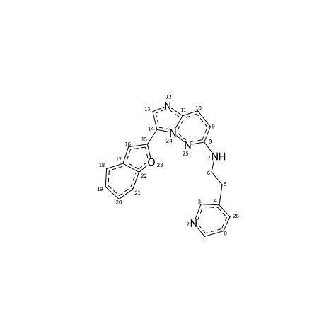 c1cncc(CCNc2ccc3ncc(-c4cc5ccccc5o4)n3n2)c1